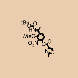 COc1c([C@H](C)NC(=O)OC(C)(C)C)ccc(OC(=O)c2coc(C)n2)c1[N+](=O)[O-]